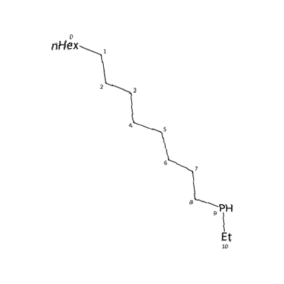 CCCCCCCCCCCCCCPCC